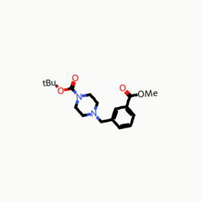 COC(=O)c1cccc(CN2CCN(C(=O)OC(C)(C)C)CC2)c1